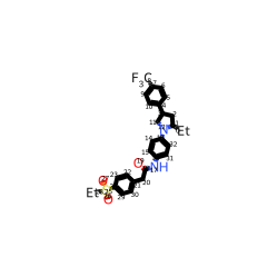 CCC1CC(c2ccc(C(F)(F)F)cc2)CN1c1ccc(NC(=O)Cc2ccc(S(=O)(=O)CC)cc2)cc1